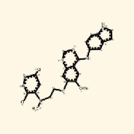 COc1cc2c(Nc3ccc4[nH]ccc4c3)ncnc2cc1OCCN(C)c1cc(Cl)nnc1Cl